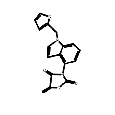 C=C1SC(=O)N(c2cccc3c2ccn3Cc2cccs2)C1=O